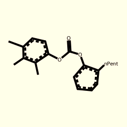 CCCCCc1ccccc1OC(=O)Oc1ccc(C)c(C)c1C